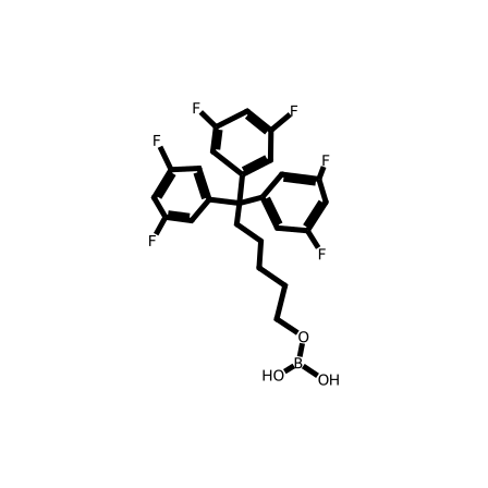 OB(O)OCCCCCC(c1cc(F)cc(F)c1)(c1cc(F)cc(F)c1)c1cc(F)cc(F)c1